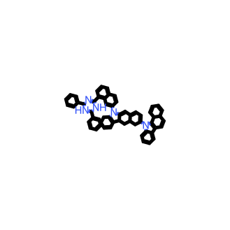 C1=CC2C=Cc3c(n(C4=CC=C5C=C6C(CC5C4)C4=C(CCC=C4)N6c4ccc5cccc(C6=NC(c7ccccc7)NC(c7ccccc7)N6)c5c4)c4ccccc34)C2C=C1